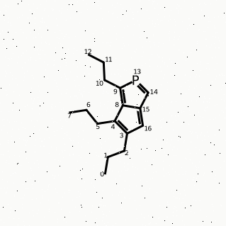 CCCC1=C(CCC)C2=C(CCC)P=[C]C2=C1